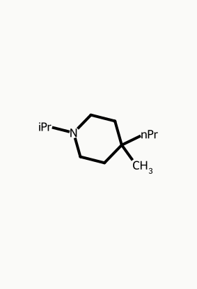 CCCC1(C)CCN(C(C)C)CC1